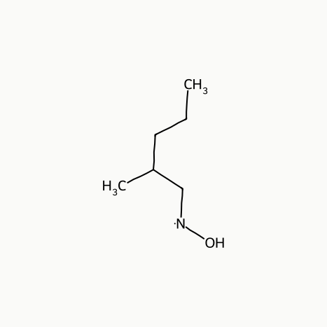 CCCC(C)C[N]O